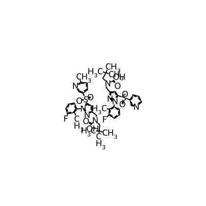 Cc1c(F)cccc1-n1nc(CN(CC(C)(C)C)C(=O)O)cc1S(=O)(=O)c1cccnc1.Cc1ccc(S(=O)(=O)c2cc(CN(CC(C)(C)C)C(=O)O)nn2-c2cccc(F)c2C)cn1